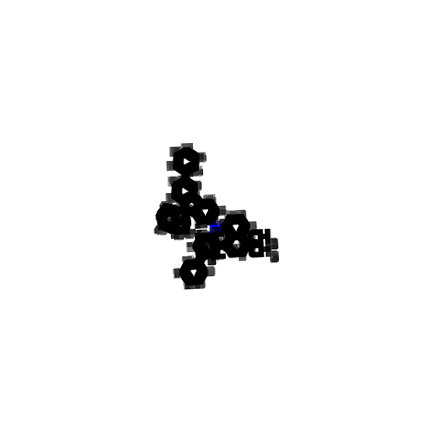 CC1(C)CCC(C)(C)c2c(N(c3ccc(-c4ccccc4)cc3)c3ccc4c(c3)C3(c5ccc(-c6ccccc6)cc5-4)C4CC5CC6CC3C64C5)cccc21